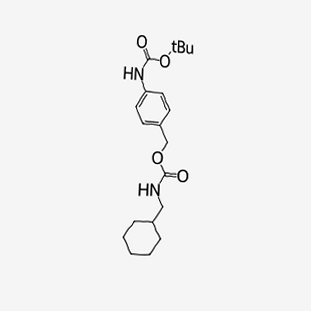 CC(C)(C)OC(=O)Nc1ccc(COC(=O)NCC2CCCCC2)cc1